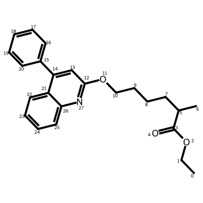 CCOC(=O)C(C)CCCCOc1cc(-c2ccccc2)c2ccccc2n1